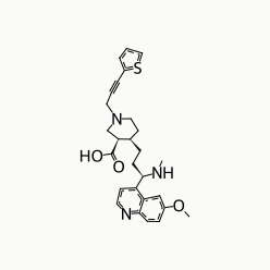 CN[C@H](CC[C@@H]1CCN(CC#Cc2cccs2)C[C@@H]1C(=O)O)c1ccnc2ccc(OC)cc12